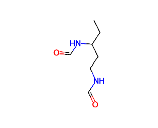 CCC(CCNC=O)NC=O